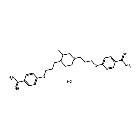 CC1CN(CCCOc2ccc(C(=N)N)cc2)CCN1CCCOc1ccc(C(=N)N)cc1.Cl